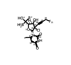 BC(B)(O)C1O[C@@H](n2c(C)cc(=O)[nH]c2=O)[C@@](Cl)(C#CCF)C1O